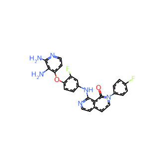 Nc1nccc(Oc2ccc(Nc3nccc4ccn(-c5ccc(F)cc5)c(=O)c34)cc2F)c1N